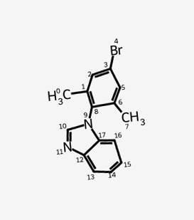 Cc1cc(Br)cc(C)c1-n1cnc2ccccc21